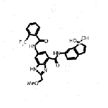 COCc1nc2c(C(=O)Nc3ccc4c(c3)S(O)(O)C=C4)cc(NC(=O)c3ccccc3C(F)(F)F)cc2[nH]1